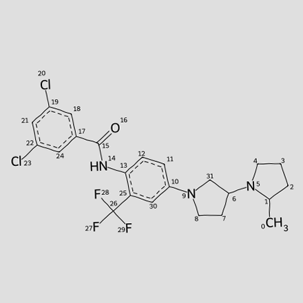 CC1CCCN1C1CCN(c2ccc(NC(=O)c3cc(Cl)cc(Cl)c3)c(C(F)(F)F)c2)C1